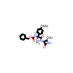 COc1ccc([C@@](C)(NC(=O)OCc2ccccc2)C(=O)N[C@@H]2C(=O)N[C@H]2OC(C)=O)cc1